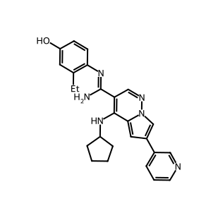 CCc1cc(O)ccc1/N=C(\N)c1cnn2cc(-c3cccnc3)cc2c1NC1CCCC1